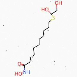 O=C(CCCCCCCCCCSC(O)CO)NO